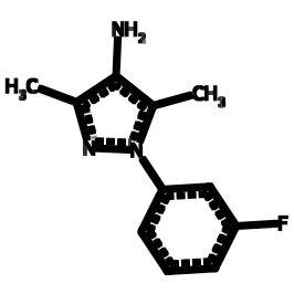 Cc1nn(-c2cccc(F)c2)c(C)c1N